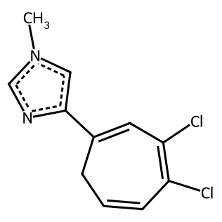 Cn1cnc(C2=CC(Cl)=C(Cl)C=CC2)c1